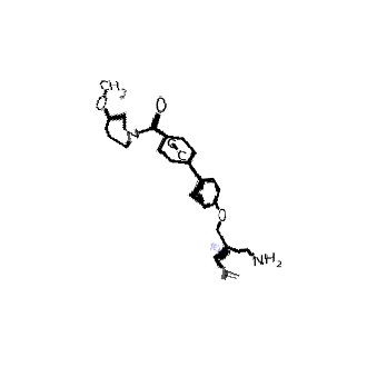 COC1CCN(C(=O)C23CCC(c4ccc(OC/C(=C/F)CN)cc4)(CC2)CC3)C1